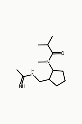 CC(=N)NCC1CCCC1N(C)C(=O)C(C)C